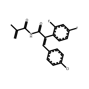 C=C(C)C(=O)NC(=O)/C(=C/c1ccc(Cl)cc1)c1ccc(F)cc1F